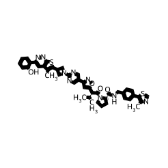 Cc1ncsc1-c1ccc(CNC(=O)[C@@H]2CCCN2C(=O)[C@@H](c2cc(-c3cnc(N4CC(c5sc6nnc(-c7ccccc7O)cc6c5C)C4)nc3)no2)C(C)C)cc1